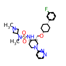 CN1CC(N(C)S(=O)(=O)N[C@H]2CCN(c3cccnn3)C[C@H]2CO[C@H]2CC[C@@H](c3cccc(F)c3)CC2)C1